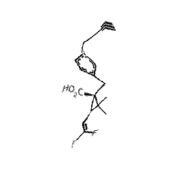 C#CCn1ccc(C[C@@]2(C(=O)O)[C@H](C=C(F)F)C2(C)C)c1